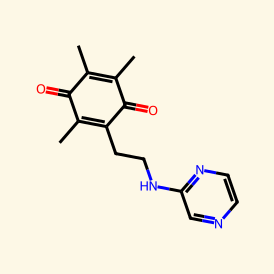 CC1=C(C)C(=O)C(CCNc2cnccn2)=C(C)C1=O